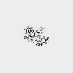 O=C1C[C@@H](CCC(O)c2ccc(F)cc2)[C@@H](c2ccc(CO)cc2O)N1c1ccccc1